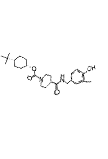 Cc1cc(CNC(=O)C2CCN(C(=O)O[C@H]3CC[C@@H](C(C)(C)C)CC3)CC2)ccc1O